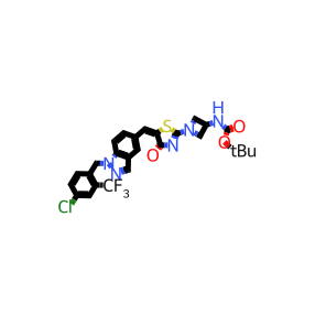 CC(C)(C)OC(=O)NC1CN(C2=NC(=O)C(=Cc3ccc4c(cnn4Cc4ccc(Cl)cc4C(F)(F)F)c3)S2)C1